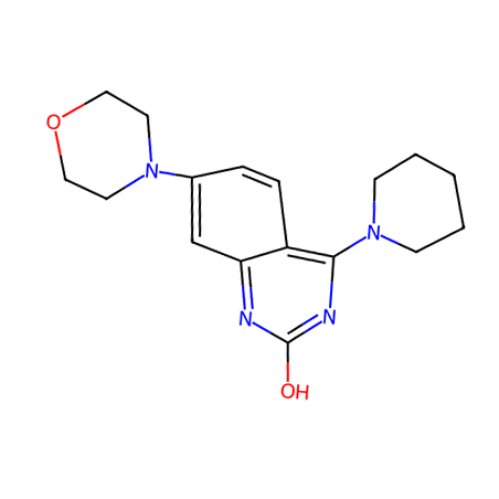 Oc1nc(N2CCCCC2)c2ccc(N3CCOCC3)cc2n1